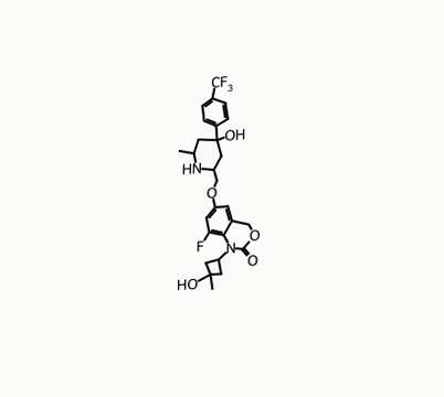 CC1CC(O)(c2ccc(C(F)(F)F)cc2)CC(COc2cc(F)c3c(c2)COC(=O)N3C2CC(C)(O)C2)N1